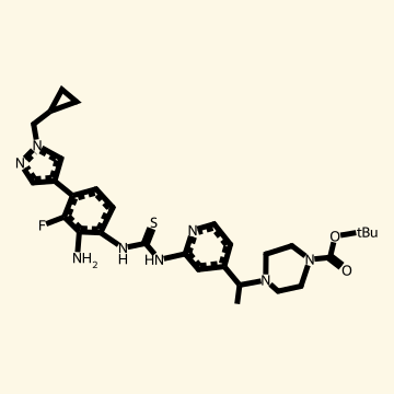 CC(c1ccnc(NC(=S)Nc2ccc(-c3cnn(CC4CC4)c3)c(F)c2N)c1)N1CCN(C(=O)OC(C)(C)C)CC1